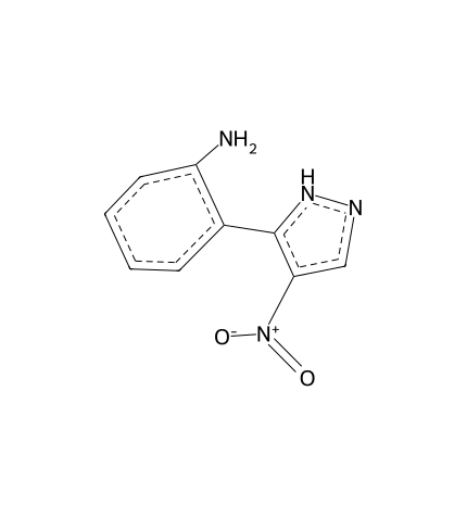 Nc1ccccc1-c1[nH]ncc1[N+](=O)[O-]